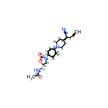 C#CCC(C#N)=C1CCN(c2ccc(N3C[C@H](CNC(C)=O)OC3=O)cc2F)CC1